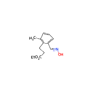 CCOC(=O)CCc1c(C)cccc1/C=N/O